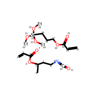 C=CC(=O)OC(C)CCN=C=O.C=CC(=O)OCCC[Si](OCC)(OCC)OCC